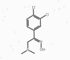 CN(C)CC(=NO)c1ccc(Cl)c(Cl)c1